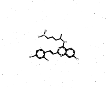 CCN(CC)CCCC(C)Nc1nc(/C=C/c2ccc(Br)cc2Br)nc2cc(Cl)ccc12